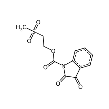 CS(=O)(=O)CCOC(=O)N1C(=O)C(=O)c2ccccc21